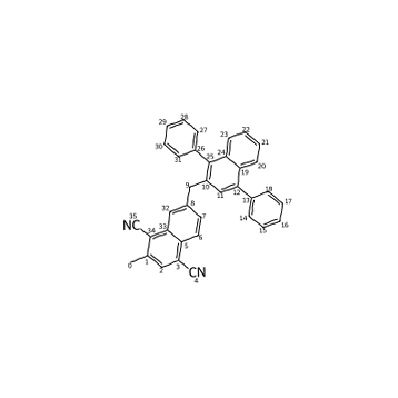 Cc1cc(C#N)c2ccc(Cc3cc(-c4ccccc4)c4ccccc4c3-c3ccccc3)cc2c1C#N